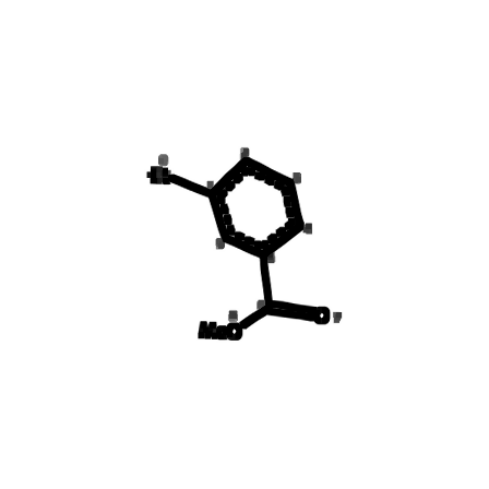 C[CH]c1cccc(C(=O)OC)c1